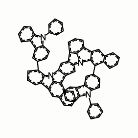 c1ccc(-n2c3ccccc3c3cc(-c4c5ccccc5cc5c6cccc7c8cc9c(cc8n(c45)c76)c4c5ccccc5cc5c6cccc(-c7ccc8c(c7)c7ccccc7n8-c7ccccc7)c6n9c54)ccc32)cc1